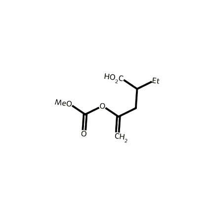 C=C(CC(CC)C(=O)O)OC(=O)OC